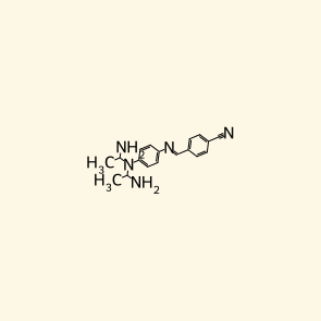 CC(N)N(c1ccc(N=Cc2ccc(C#N)cc2)cc1)C(C)N